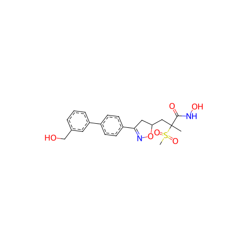 CC(CC1CC(c2ccc(-c3cccc(CO)c3)cc2)=NO1)(C(=O)NO)S(C)(=O)=O